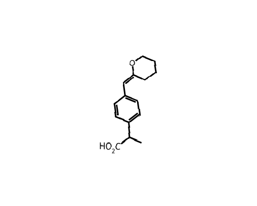 CC(C(=O)O)c1ccc(C=C2CCCCO2)cc1